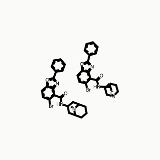 CN1C2CCCC1CC(NC(=O)c1c(Br)ccc3oc(-c4ccccc4)nc13)C2.O=C(NC1CN2CCC1CC2)c1c(Br)ccc2oc(-c3ccccc3)nc12